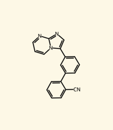 N#Cc1ccccc1-c1cccc(-c2cnc3ncccn23)c1